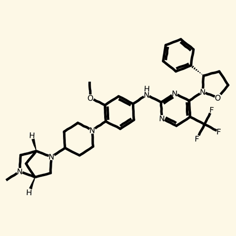 COc1cc(Nc2ncc(C(F)(F)F)c(N3OCC[C@H]3c3ccccc3)n2)ccc1N1CCC(N2C[C@H]3C[C@@H]2CN3C)CC1